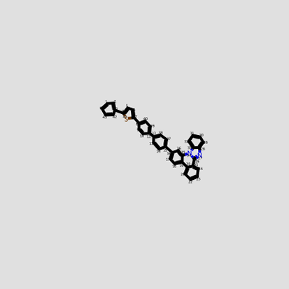 c1ccc(-c2ccc(-c3ccc(-c4ccc(-c5ccc6c7ccccc7c7nc8ccccc8n7c6c5)cc4)cc3)s2)cc1